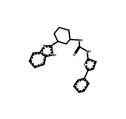 O=C(Nc1ccc(-c2ccccc2)s1)NC1CCCC(c2nc3ccccc3[nH]2)C1